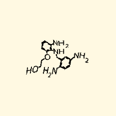 Nc1ccc(N)c(CNc2c(N)cccc2OCCO)c1